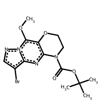 COc1c2c(nc3c(Br)cnn13)N(C(=O)OC(C)(C)C)CCO2